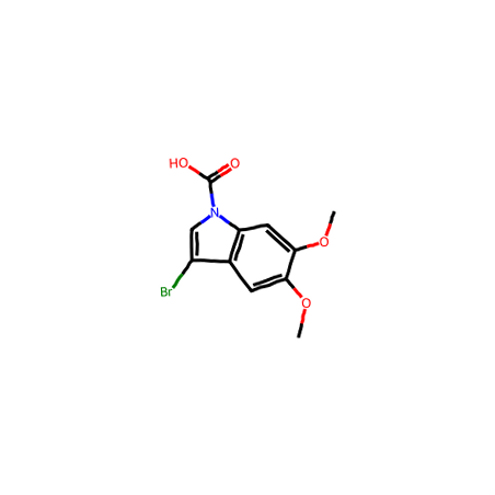 COc1cc2c(Br)cn(C(=O)O)c2cc1OC